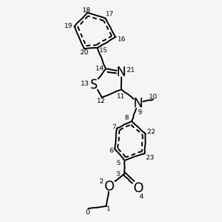 CCOC(=O)c1ccc(N(C)C2CSC(c3ccccc3)=N2)cc1